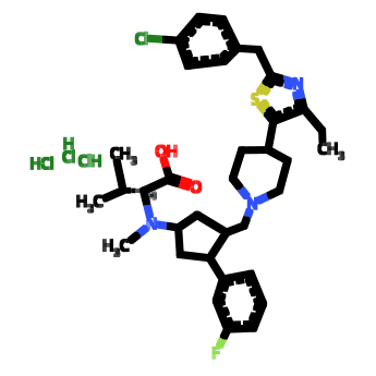 CCc1nc(Cc2ccc(Cl)cc2)sc1C1CCN(CC2CC(N(C)[C@@H](C(=O)O)C(C)C)CC2c2cccc(F)c2)CC1.Cl.Cl.Cl